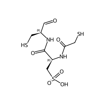 O=C[C@H](CS)NC(=O)[C@H](CS(=O)(=O)O)NC(=O)CS